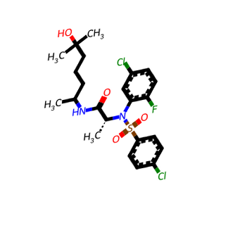 CC(CCCC(C)(C)O)NC(=O)[C@@H](C)N(c1cc(Cl)ccc1F)S(=O)(=O)c1ccc(Cl)cc1